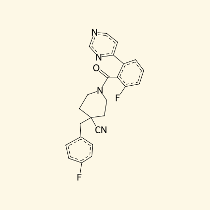 N#CC1(Cc2ccc(F)cc2)CCN(C(=O)c2c(F)cccc2-c2ccncn2)CC1